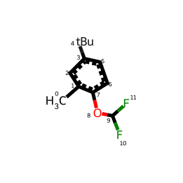 Cc1cc(C(C)(C)C)ccc1OC(F)F